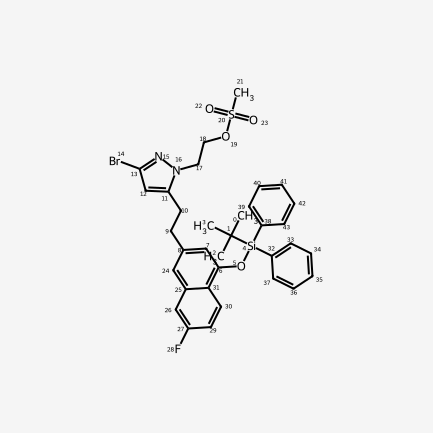 CC(C)(C)[Si](Oc1cc(CCc2cc(Br)nn2CCOS(C)(=O)=O)cc2cc(F)ccc12)(c1ccccc1)c1ccccc1